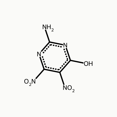 Nc1nc(O)c([N+](=O)[O-])c([N+](=O)[O-])n1